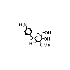 CO[C@@H]1[C@H](O)[C@@H](Oc2ccc(N)cc2)O[C@H](CO)[C@H]1O